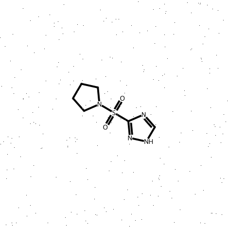 O=S(=O)(c1nc[nH]n1)N1CCCC1